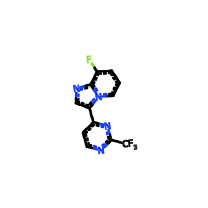 Fc1cccn2c(-c3ccnc(C(F)(F)F)n3)cnc12